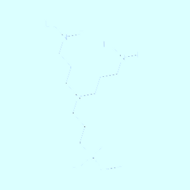 CCO[Si](C)(CC)CCCN(CCCN(CC)CC)CCCN(CC)CC